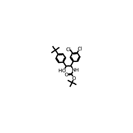 CC(C)(C)OC(=O)NC(c1ccc(Cl)c(Cl)c1)C(O)c1ccc(C(C)(C)C)cc1